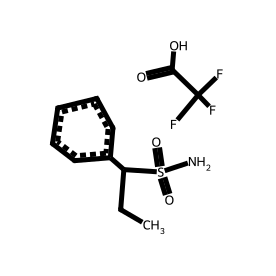 CCC(c1ccccc1)S(N)(=O)=O.O=C(O)C(F)(F)F